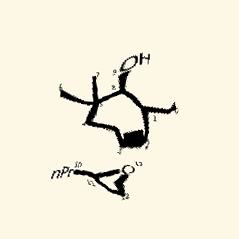 CC1C=CCC(C)(C)C1O.CCCC1CO1